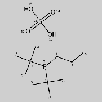 CCCP(C(C)(C)C)C(C)(C)C.O=S(=O)(O)O